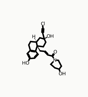 O=C(/C=C/C[C@]12CC[C@@](O)(C#CCl)C[C@@H]1CCc1cc(O)ccc12)N1CCC(O)CC1